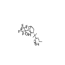 CCCC(OO)C(C)(C)C1CC2CC1C(C(O)(C(F)(F)F)C(F)(F)F)C2